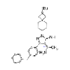 C/C(N)=C1\C(=N)N(C2CCC3(CC2)CN(C(C)(C)C)C3)N=C1c1ccc(Cc2ccccc2)cc1